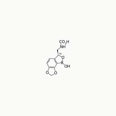 O=C(O)NC[C@H]1OB(O)c2c1ccc1c2OCO1